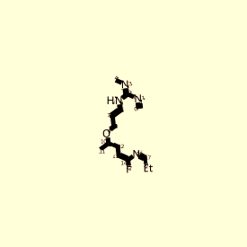 C=N/C(=N/C)N/C=C/COC(C)C/C=C(F)\N=C/CC